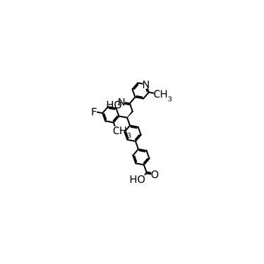 Cc1cc(/C(C[C@@H](c2ccc(-c3ccc(C(=O)O)cc3)cc2)c2ccc(F)cc2C)=N/O)ccn1